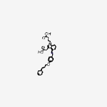 O=C(O)CCCn1cc(CC(=O)O)c2c(/C=C/c3ccc(OCCCc4ccccc4)cc3)cccc21